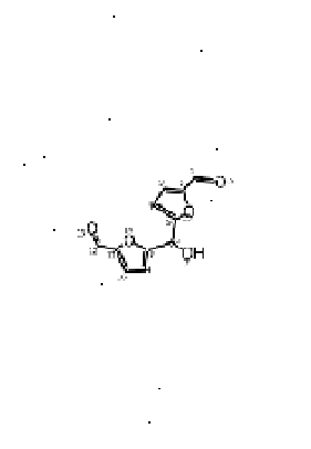 O=Cc1ccc([C](O)c2ccc(C=O)o2)o1